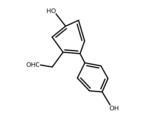 O=CCc1cc(O)ccc1-c1ccc(O)cc1